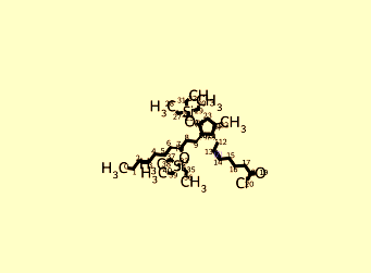 CCCCCCC[C@@H](CC[C@@H]1[C@@H](C/C=C\CCCC(=O)Cl)[C@@H](C)C[C@H]1O[Si](CC)(CC)CC)O[Si](CC)(CC)CC